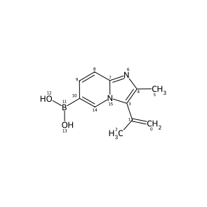 C=C(C)c1c(C)nc2ccc(B(O)O)cn12